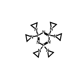 C1CN1P1(N2CC2)=NP(N2CC2)(N2CC2)=NP(N2CC2)(N2CC2)=N1